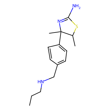 CCCNCc1ccc(C2(C)N=C(N)SC2C)cc1